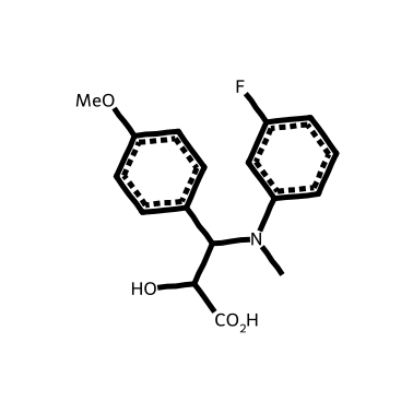 COc1ccc(C(C(O)C(=O)O)N(C)c2cccc(F)c2)cc1